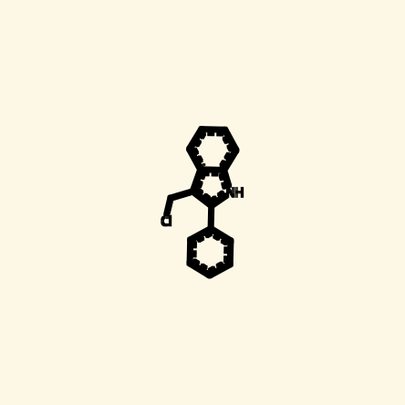 ClCc1c(-c2ccccc2)[nH]c2ccccc12